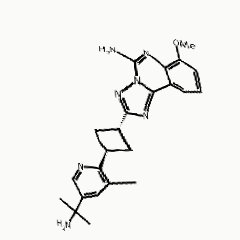 COc1cccc2c1nc(N)n1nc([C@H]3C[C@H](c4ncc(C(C)(C)N)cc4C)C3)nc21